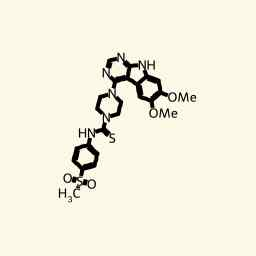 COc1cc2[nH]c3ncnc(N4CCN(C(=S)Nc5ccc(S(C)(=O)=O)cc5)CC4)c3c2cc1OC